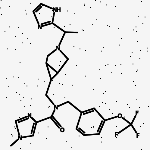 CC(c1ncc[nH]1)N1CC2C(CN(Cc3cccc(OC(F)(F)F)c3)C(=O)c3cn(C)cn3)C2C1